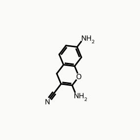 N#CC1=C(N)Oc2cc(N)ccc2C1